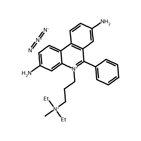 CC[N+](C)(CC)CCC[n+]1c(-c2ccccc2)c2cc(N)ccc2c2ccc(N)cc21.[N-]=[N+]=[N-]